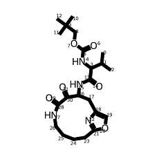 CC(C)C(NC(=O)OCC(C)(C)C)C(=O)NC1Cc2coc(n2)CCCCNC(=O)C1=O